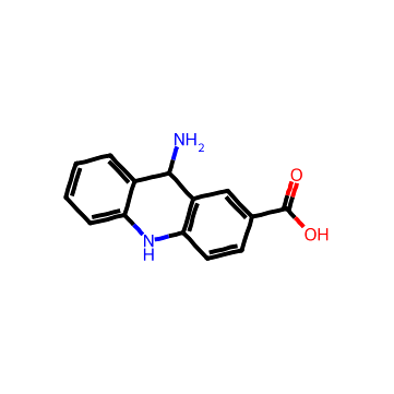 NC1c2ccccc2Nc2ccc(C(=O)O)cc21